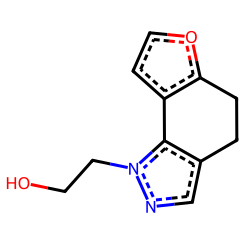 OCCn1ncc2c1-c1ccoc1CC2